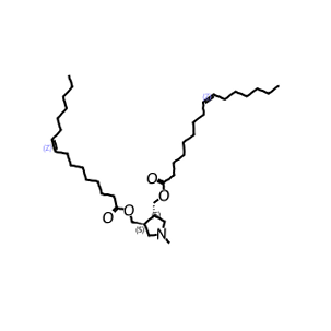 CCCCCC/C=C\CCCCCCCC(=O)OC[C@@H]1CN(C)C[C@H]1COC(=O)CCCCCCC/C=C\CCCCCC